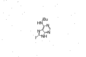 CC[C@H](C)Nc1ncnc2[nH]c(I)nc12